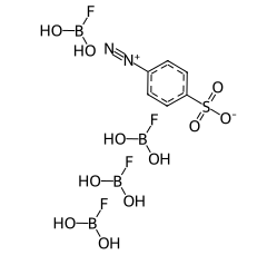 N#[N+]c1ccc(S(=O)(=O)[O-])cc1.OB(O)F.OB(O)F.OB(O)F.OB(O)F